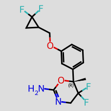 C[C@]1(c2cccc(OCC3CC3(F)F)c2)OC(N)=NCC1(F)F